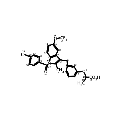 Cc1c(Cc2cccc(OC(C)C(=O)O)c2)c2cc(OC(F)(F)F)ccc2n1C(=O)c1ccc(Cl)cc1